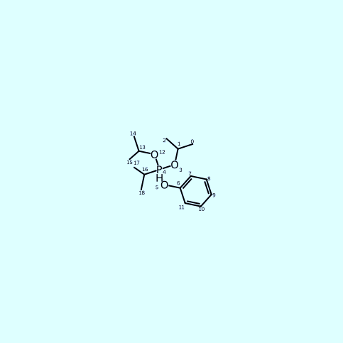 CC(C)O[PH](Oc1ccccc1)(OC(C)C)C(C)C